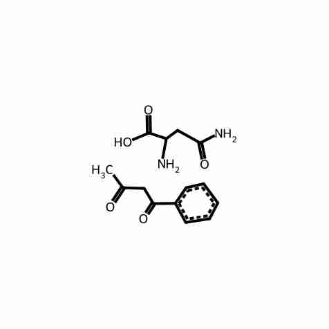 CC(=O)CC(=O)c1ccccc1.NC(=O)CC(N)C(=O)O